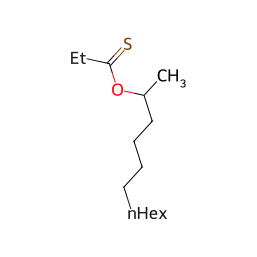 CCCCCCCCCCC(C)OC(=S)CC